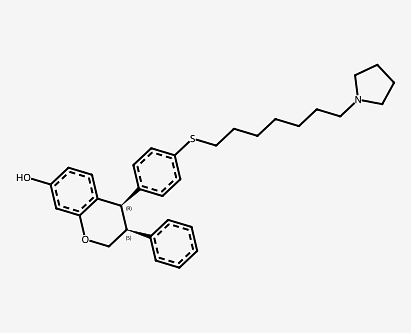 Oc1ccc2c(c1)OC[C@H](c1ccccc1)[C@@H]2c1ccc(SCCCCCCCN2CCCC2)cc1